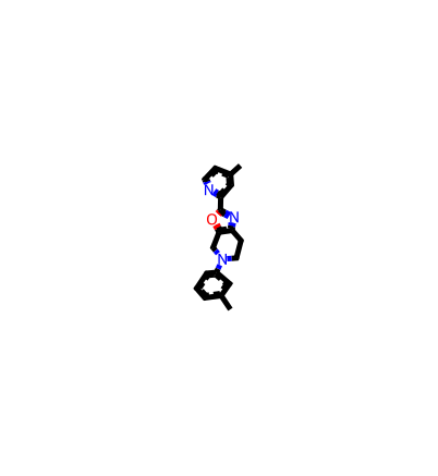 Cc1cccc(N2CCc3nc(-c4cc(C)ccn4)oc3C2)c1